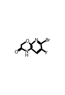 O=C1COc2nc(Br)c(F)cc2N1